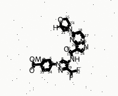 COC(=O)c1ccc(-n2cc(NC(=O)c3cnn4ccc(N5C[C@H]6CC5CO6)nc34)c(C(F)F)n2)cc1